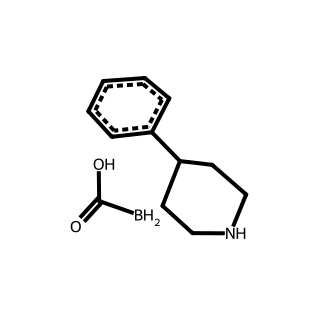 BC(=O)O.c1ccc(C2CCNCC2)cc1